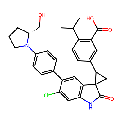 CC(C)c1ccc(C2CC23C(=O)Nc2cc(Cl)c(-c4ccc(N5CCC[C@@H]5CO)cc4)cc23)cc1C(=O)O